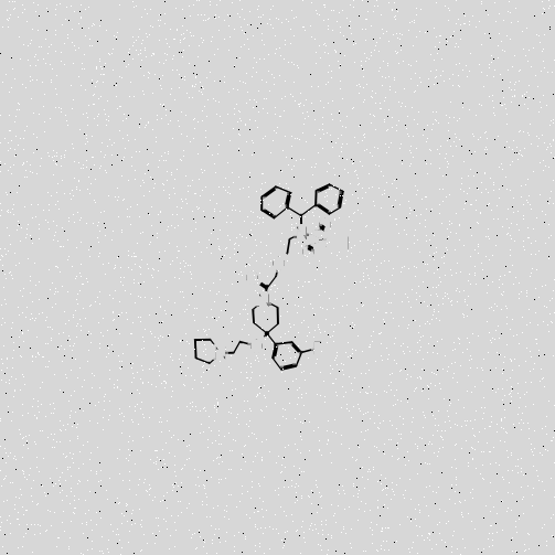 CS(=O)(=O)N(CCOCC(=O)N1CCC(OCCN2CCCC2)(c2cccc(F)c2)CC1)C(c1ccccc1)c1ccccc1